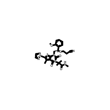 CNC(=O)C(C)(C)n1c(=O)c2c(C)c(-n3nccn3)sc2n(C[C@H](OCCC#N)c2ccccc2OC)c1=O